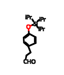 CC(C)[Si](Oc1ccc(CCC=O)cc1)(C(C)C)C(C)C